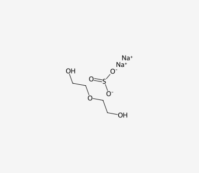 O=S([O-])[O-].OCCOCCO.[Na+].[Na+]